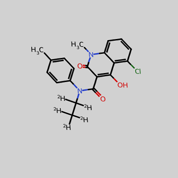 [2H]C([2H])([2H])C([2H])([2H])N(C(=O)c1c(O)c2c(Cl)cccc2n(C)c1=O)c1ccc(C)cc1